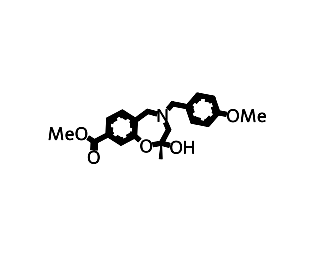 COC(=O)c1ccc2c(c1)O[C@@](C)(O)CN(Cc1ccc(OC)cc1)C2